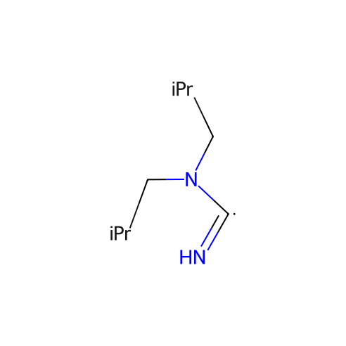 CC(C)CN([C]=N)CC(C)C